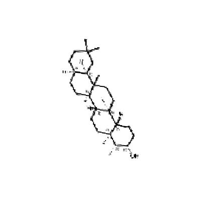 C[C@H]1[C@@H](O)CC[C@@H]2[C@]1(C)CC[C@H]1[C@@]2(C)CCC2(C)[C@@H]3CC(C)(C)CC[C@]3(C)CC[C@]12C